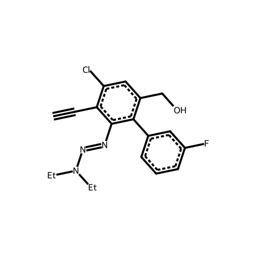 C#Cc1c(Cl)cc(CO)c(-c2cccc(F)c2)c1N=NN(CC)CC